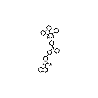 Brc1c(-c2cccc3ccccc23)sc2ccc(-c3ccc4c(c3)c3ccccc3n4-c3ccc(-c4nc(-c5ccccc5)c5c6ccccc6c6ccccc6c5n4)cc3)cc12